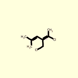 CC(C)=C/C(CCl)=C(\C)Cl